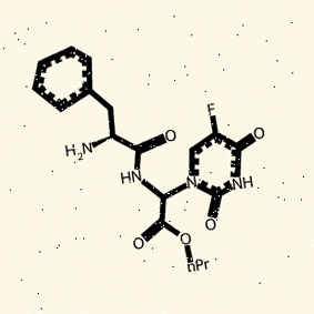 CCCOC(=O)C(NC(=O)[C@@H](N)Cc1ccccc1)n1cc(F)c(=O)[nH]c1=O